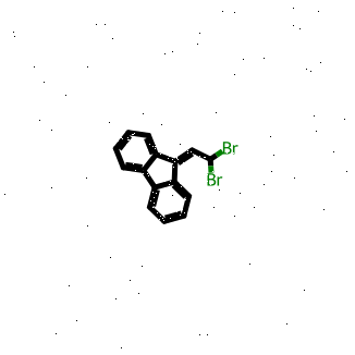 BrC(Br)C=C1c2ccccc2-c2ccccc21